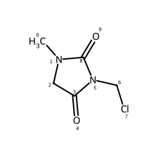 CN1CC(=O)N(CCl)C1=O